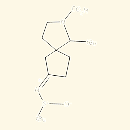 CC(C)(C)C1N(C(=O)O)CCC12CC/C(=N\[S+]([O-])C(C)(C)C)C2